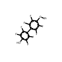 CC(C)Oc1c(F)c(F)c(-c2c(F)c(F)c(O)c(F)c2F)c(F)c1F